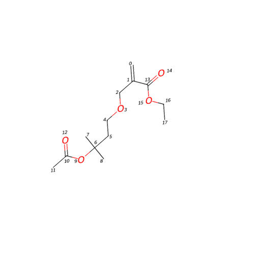 C=C(COCCC(C)(C)OC(C)=O)C(=O)OCC